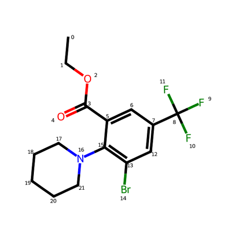 CCOC(=O)c1cc(C(F)(F)F)cc(Br)c1N1CCCCC1